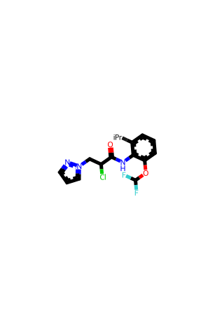 CC(C)c1cccc(OC(F)F)c1NC(=O)C(Cl)Cn1cccn1